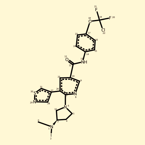 CN(I)[C@@H]1CCN(c2ncc(C(=O)Nc3ccc(OC(F)(F)Cl)cc3)cc2-c2cnsc2)C1